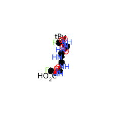 CC(C)(C)OC(=O)NC(C(=O)N1CCC[C@H]1C(=O)Nc1ccc2[nH]c(-c3ccc(NC(=O)[C@@H]4CCCN4C(=O)C(NC(=O)O)c4ccc(F)cc4)cc3)cc2c1)c1ccc(F)cc1